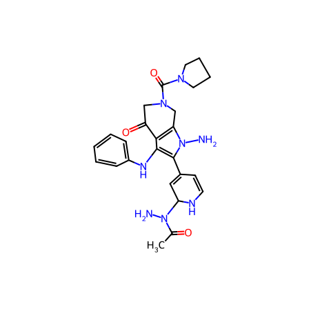 CC(=O)N(N)C1C=C(c2c(Nc3ccccc3)c3c(n2N)CN(C(=O)N2CCCC2)CC3=O)C=CN1